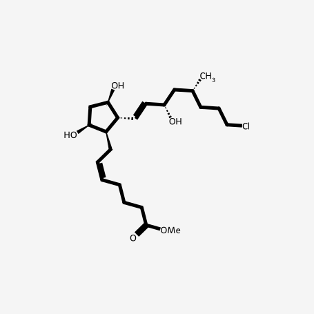 COC(=O)CCC/C=C\C[C@@H]1[C@@H](/C=C/[C@@H](O)C[C@H](C)CCCCl)[C@H](O)C[C@@H]1O